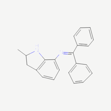 CC1Cc2cccc(N=C(c3ccccc3)c3ccccc3)c2N1